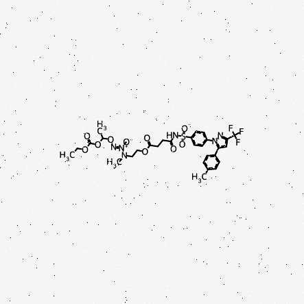 CCOC(=O)OC(C)ON=[N+]([O-])N(C)CCOC(=O)CCC(=O)NS(=O)(=O)c1ccc(-n2nc(C(F)(F)F)cc2-c2ccc(C)cc2)cc1